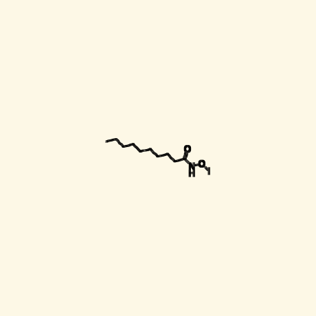 CCCCCCCCCC(=O)NOI